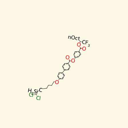 CCCCCCCCC(OC(=O)c1ccc(OC(=O)c2ccc(-c3ccc(OCCCCCC[SiH2]C(Cl)Cl)cc3)cc2)cc1)C(F)(F)F